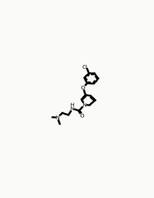 CN(C)CCNC(=O)N1C=C(Oc2cccc(Cl)c2)C=CC1